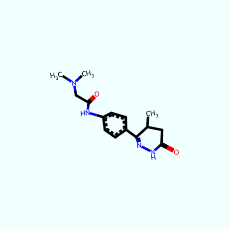 CC1CC(=O)NN=C1c1ccc(NC(=O)CN(C)C)cc1